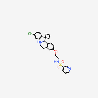 O=S(=O)(NCCOc1ccc2c(c1)CCNC2C1(c2ccc(Cl)cc2)CCC1)c1cccnc1